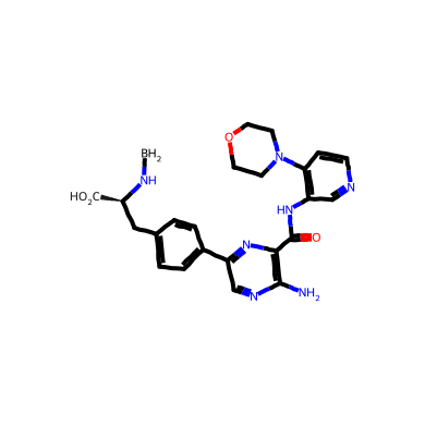 BN[C@@H](Cc1ccc(-c2cnc(N)c(C(=O)Nc3cnccc3N3CCOCC3)n2)cc1)C(=O)O